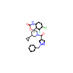 O=C1Nc2ccc(Cl)c(F)c2[C@@]2(CC(C3CC3)CN(C(=O)c3cnn(Cc4ccccc4)c3)C2)O1